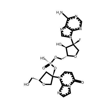 Nc1ncnc2c1ncn2[C@]1(F)CO[C@H](CO[P@@](=O)(S)O[C@@]2(n3ccc(=O)n4ccnc34)CO[C@H](CO)C2)[C@H]1O